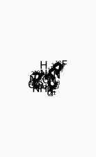 C[C@H]1CN(c2nc3cc(F)ccc3cc2C(=O)Nc2ccnc(S(N)(=O)=O)c2)CCC1(F)F